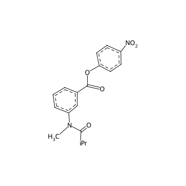 CC(C)C(=O)N(C)c1cccc(C(=O)Oc2ccc([N+](=O)[O-])cc2)c1